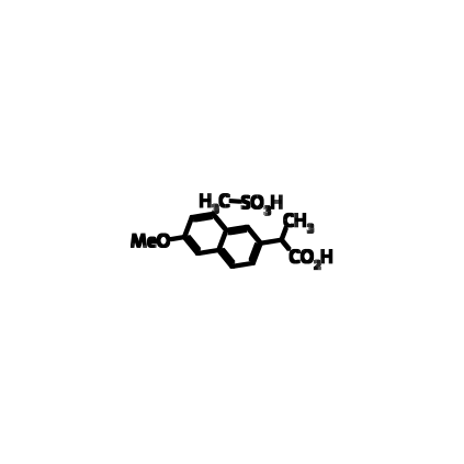 COc1ccc2cc(C(C)C(=O)O)ccc2c1.CS(=O)(=O)O